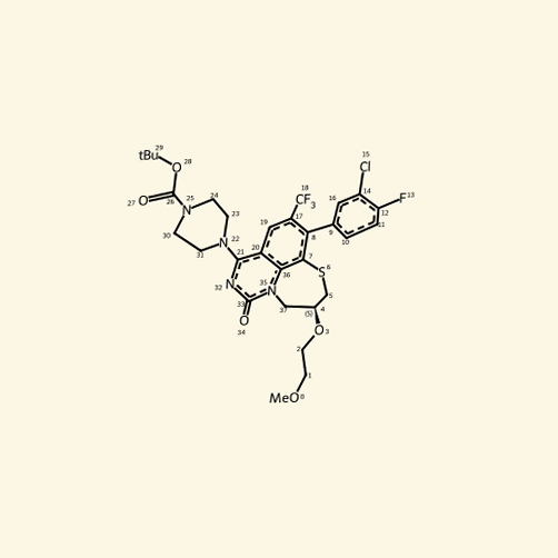 COCCO[C@@H]1CSc2c(-c3ccc(F)c(Cl)c3)c(C(F)(F)F)cc3c(N4CCN(C(=O)OC(C)(C)C)CC4)nc(=O)n(c23)C1